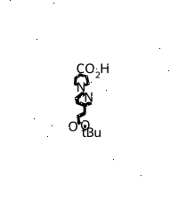 CC(C)(C)OC(=O)C=Cc1ccc(N2CCC(C(=O)O)CC2)nc1